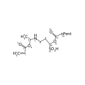 C=CC(=O)OC(C)NCCC(OC(=O)CCCCC)S(=O)(=O)O